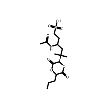 CCCC1OC(=O)[C@@H](C(C)(C)CC(CCS(=O)(=O)O)NC(C)=O)OC1=O